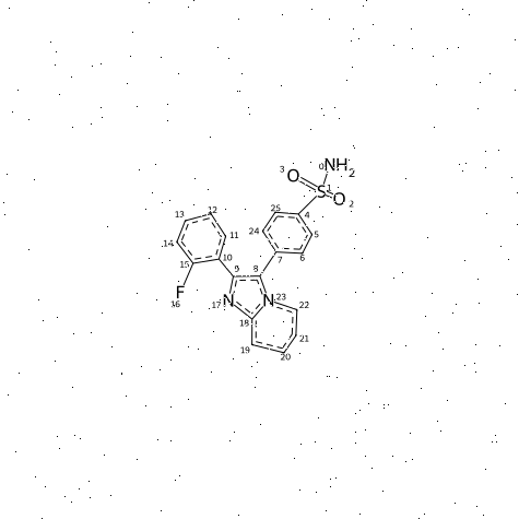 NS(=O)(=O)c1ccc(-c2c(-c3ccccc3F)nc3ccccn23)cc1